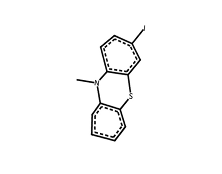 CN1c2ccccc2Sc2cc(I)ccc21